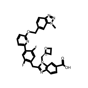 Cn1nnc2ccc(COc3cccc(-c4cc(F)c(Cc5nc6ccc(C(=O)O)cc6n5C[C@@H]5CCO5)cc4F)n3)cc21